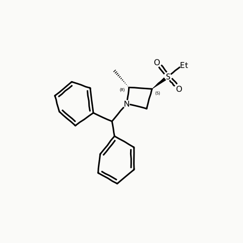 CCS(=O)(=O)[C@H]1CN(C(c2ccccc2)c2ccccc2)[C@@H]1C